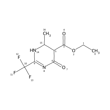 CCOC(=O)C1C(=O)N=C(C(F)(F)F)NC1C